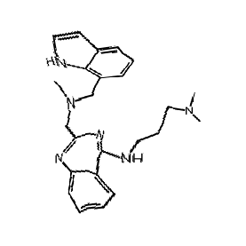 CN(C)CCCNc1nc(CN(C)Cc2cccc3cc[nH]c23)nc2ccccc12